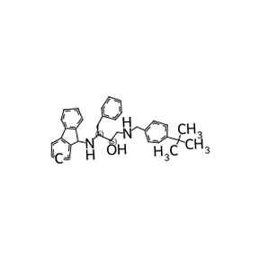 CC(C)(C)c1ccc(CNC[C@H](O)[C@H](Cc2ccccc2)NC2c3ccccc3-c3ccccc32)cc1